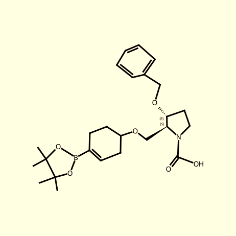 CC1(C)OB(C2=CCC(OC[C@H]3[C@H](OCc4ccccc4)CCN3C(=O)O)CC2)OC1(C)C